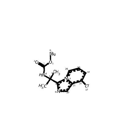 CC(C)(C)OC(=O)NC(C)(C)c1ncc2c(Cl)cccn12